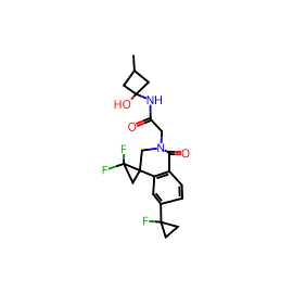 CC1CC(O)(NC(=O)CN2CC3(CC3(F)F)c3cc(C4(F)CC4)ccc3C2=O)C1